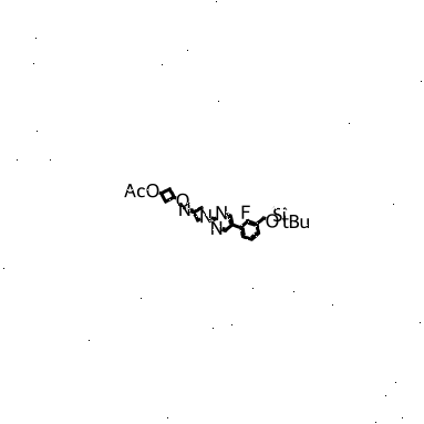 CC(=O)OC1CC(ON=C2CN(c3ncc(-c4cccc(CO[Si](C)(C)C(C)(C)C)c4F)cn3)C2)C1